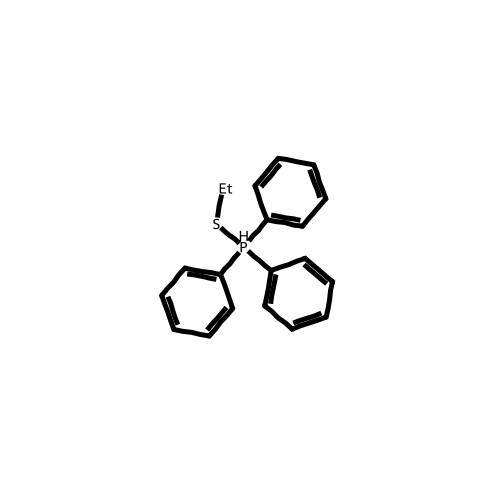 CCS[PH](c1ccccc1)(c1ccccc1)c1ccccc1